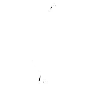 CCCCCCCCC[C@H]1CC[C@H]([C@H]2CC[C@H](CCCCC)CC2)CC1